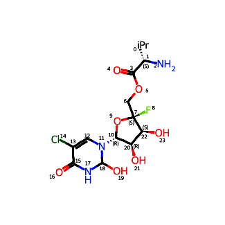 CC(C)[C@H](N)C(=O)OC[C@@]1(F)O[C@@H](N2C=C(Cl)C(=O)NC2O)[C@H](O)[C@@H]1O